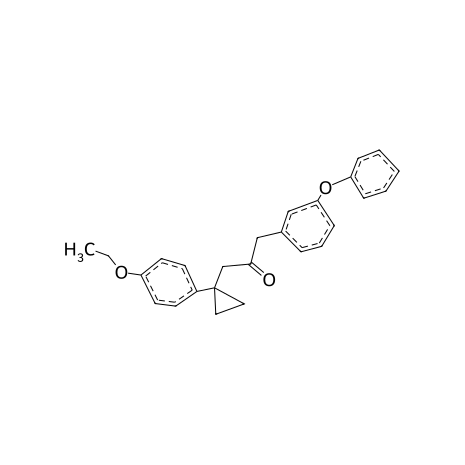 CCOc1ccc(C2(CC(=O)Cc3cccc(Oc4ccccc4)c3)CC2)cc1